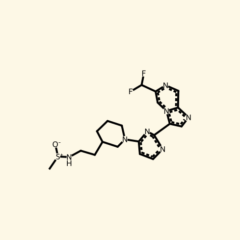 C[S+]([O-])NCCC1CCCN(c2ccnc(-c3cnc4cnc(C(F)F)cn34)n2)C1